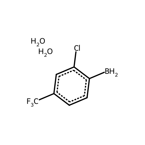 Bc1ccc(C(F)(F)F)cc1Cl.O.O